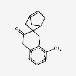 Cc1cccc2c1CC1(CC3=CCC1C3)C(=O)C2